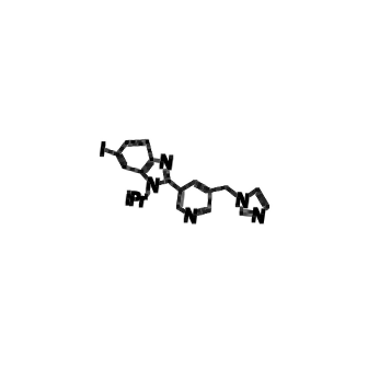 CC(C)n1c(-c2cncc(Cn3ccnc3)c2)nc2ccc(I)cc21